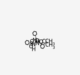 CC(C)(C)c1ccccc1Oc1cc(-c2ccccc2)nc(NS(=O)(=O)c2ccccc2)n1